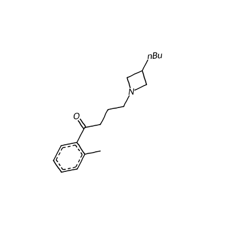 CCCCC1CN(CCCC(=O)c2ccccc2C)C1